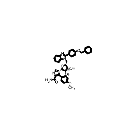 COc1ccc(-c2c(C(N)=O)nnn2[C@@H]2O[C@H](Cn3c(-c4ccc(OCc5ccccc5)cc4)nc4ccccc43)[C@@H](O)[C@H]2O)cc1